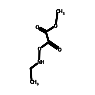 CCNOC(=O)C(=O)OC